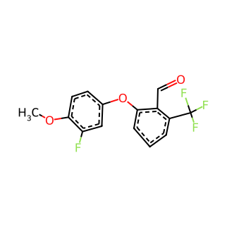 COc1ccc(Oc2cccc(C(F)(F)F)c2C=O)cc1F